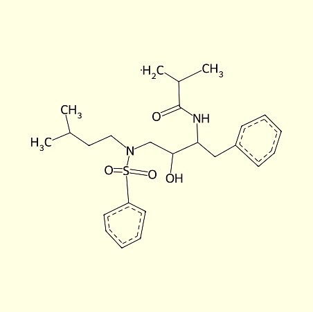 [CH2]C(C)C(=O)NC(Cc1ccccc1)C(O)CN(CCC(C)C)S(=O)(=O)c1ccccc1